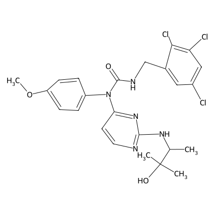 COc1ccc(N(C(=O)NCc2cc(Cl)cc(Cl)c2Cl)c2ccnc(NC(C)C(C)(C)O)n2)cc1